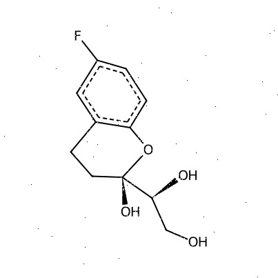 OC[C@H](O)[C@]1(O)CCc2cc(F)ccc2O1